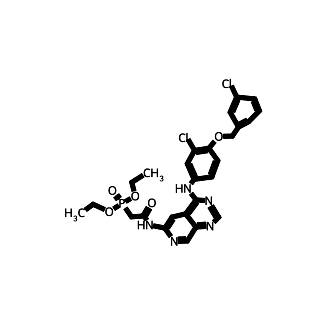 CCOP(=O)(CC(=O)Nc1cc2c(Nc3ccc(OCc4cccc(Cl)c4)c(Cl)c3)ncnc2cn1)OCC